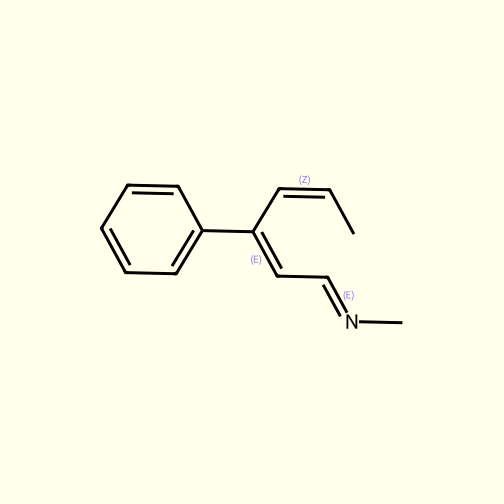 C\C=C/C(=C\C=N\C)c1ccccc1